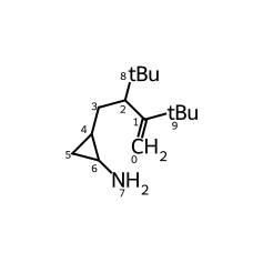 C=C(C(CC1CC1N)C(C)(C)C)C(C)(C)C